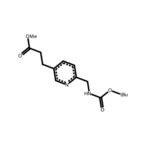 COC(=O)CCc1ccc(CNC(=O)OC(C)(C)C)nc1